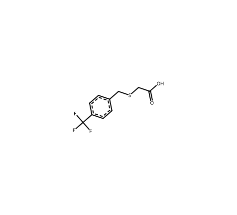 O=C(O)CSCc1ccc(C(F)(F)F)cc1